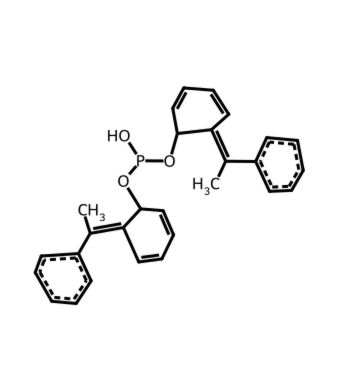 CC(=C1C=CC=CC1OP(O)OC1C=CC=CC1=C(C)c1ccccc1)c1ccccc1